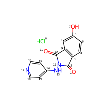 Cl.O=C1c2ccc(O)cc2C(=O)N1Nc1ccncc1